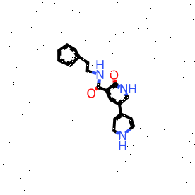 O=C(NCCc1ccccc1)c1cc(C2=CCNC=C2)c[nH]c1=O